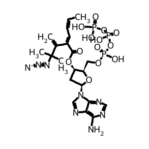 C=C(/C(=C\C=C/C)C(=O)O[C@@H]1C[C@H](n2cnc3c(N)ncnc32)O[C@@H]1COP(=O)(O)OP(=O)(O)OP(=O)(O)O)C(C)(C)N=[N+]=[N-]